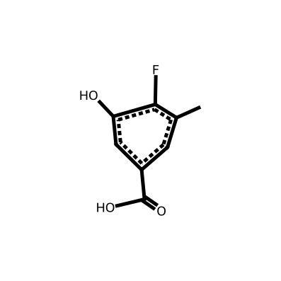 Cc1cc(C(=O)O)cc(O)c1F